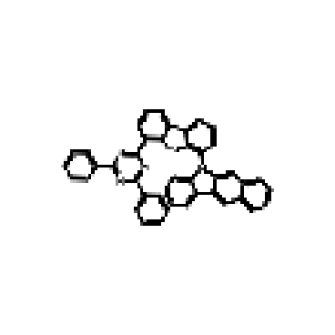 c1ccc(-c2nc(-c3ccccc3)nc(-c3cccc4c3sc3c(-n5c6ccccc6c6cc7ccccc7cc65)cccc34)n2)cc1